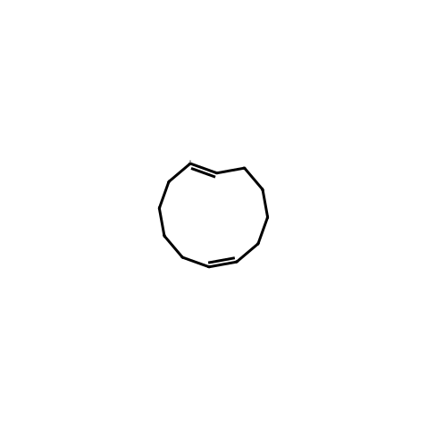 [C]1=C/CCCC/C=C\CCCC/1